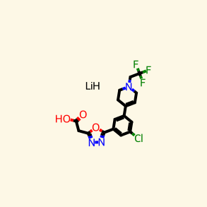 O=C(O)Cc1nnc(-c2cc(Cl)cc(C3=CCN(CC(F)(F)F)CC3)c2)o1.[LiH]